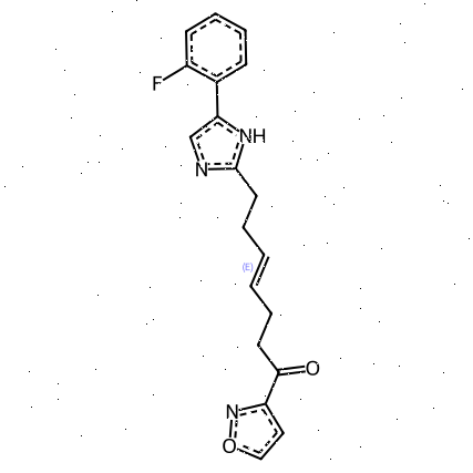 O=C(CC/C=C/CCc1ncc(-c2ccccc2F)[nH]1)c1ccon1